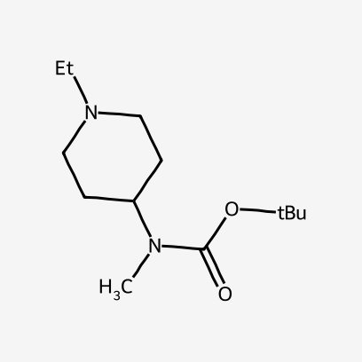 CCN1CCC(N(C)C(=O)OC(C)(C)C)CC1